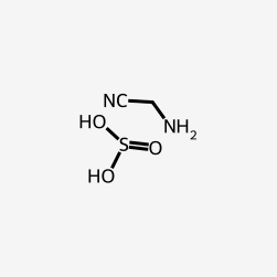 N#CCN.O=S(O)O